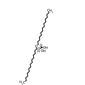 CCCCCCCCCCCCCCCCOCCCCCCCCCCCCCCCC.O=P(O)(O)O